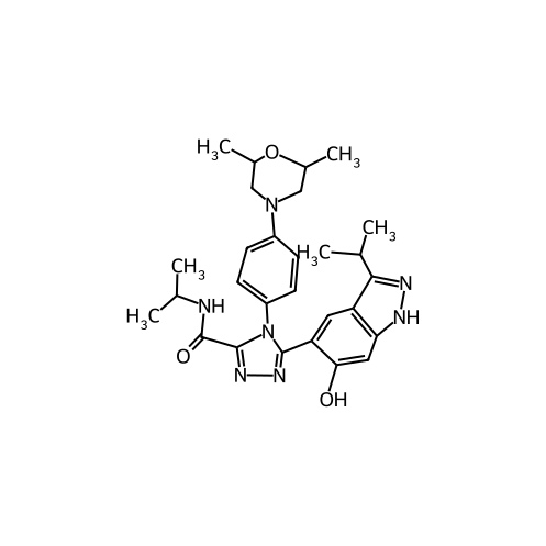 CC(C)NC(=O)c1nnc(-c2cc3c(C(C)C)n[nH]c3cc2O)n1-c1ccc(N2CC(C)OC(C)C2)cc1